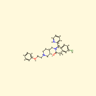 CC(=O)N(CC1CCN(CCOc2ccccc2)CC1)[C@H](c1ccc(Cl)cc1)c1ccccn1